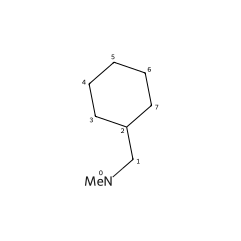 [CH2-][NH2+]CC1CCCCC1